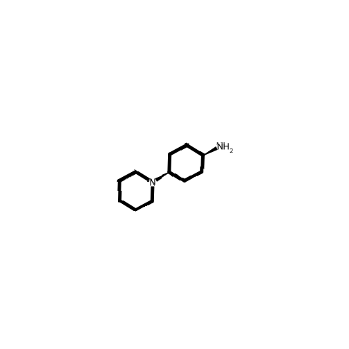 N[C@H]1CC[C@@H](N2CCCCC2)CC1